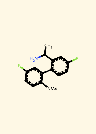 CNc1ccc(F)cc1-c1ccc(F)cc1C(C)N